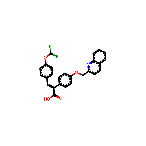 O=C(O)/C(=C/c1ccc(OC(F)F)cc1)c1ccc(OCc2ccc3ccccc3n2)cc1